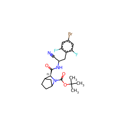 CC(C)(C)OC(=O)N1C2CCC(C2)[C@H]1C(=O)NC(C#N)Cc1c(F)cc(Br)cc1F